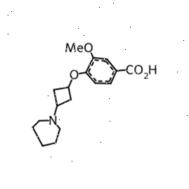 COc1cc(C(=O)O)ccc1OC1CC(N2CCCCC2)C1